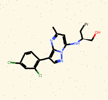 Cc1cc(N[C@H](CO)CC(C)C)n2ncc(-c3ccc(Cl)cc3Cl)c2n1